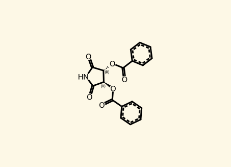 O=C(O[C@H]1C(=O)NC(=O)[C@@H]1OC(=O)c1ccccc1)c1ccccc1